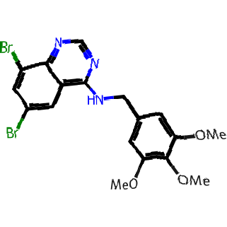 COc1cc(CNc2ncnc3c(Br)cc(Br)cc23)cc(OC)c1OC